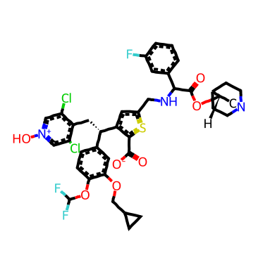 O=C([O-])c1sc(CNC(C(=O)O[C@H]2CN3CCC2CC3)c2cccc(F)c2)cc1[C@@H](Cc1c(Cl)c[n+](O)cc1Cl)c1ccc(OC(F)F)c(OCC2CC2)c1